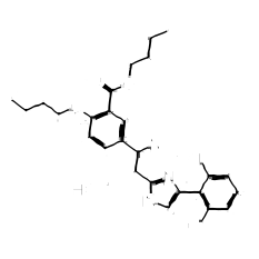 CCCCOC(=O)c1cc(C(N)Cc2nc(-c3c(Cl)cccc3Cl)c[nH]2)ccc1OCCCC.Cl